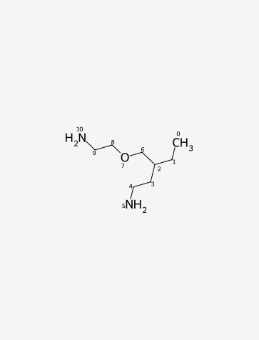 CCC(CCN)COCCN